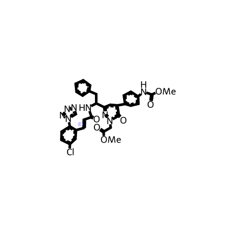 COC(=O)Cn1nc(C(Cc2ccccc2)NC(=O)/C=C/c2cc(Cl)ccc2-n2cnnn2)cc(-c2ccc(NC(=O)OC)cc2)c1=O